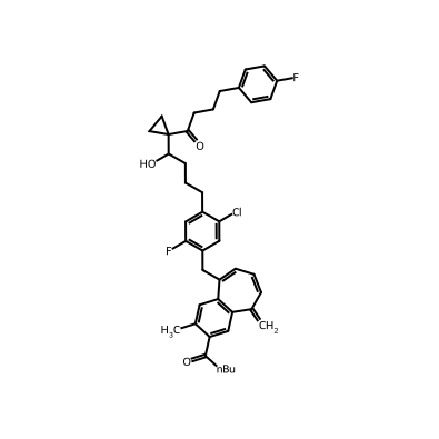 C=C1C=CC=C(Cc2cc(Cl)c(CCCC(O)C3(C(=O)CCCc4ccc(F)cc4)CC3)cc2F)c2cc(C)c(C(=O)CCCC)cc21